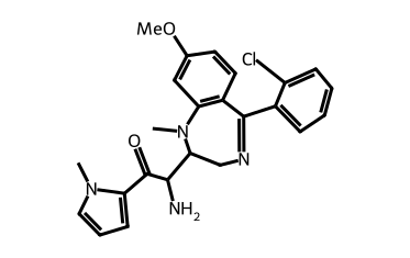 COc1ccc2c(c1)N(C)C(C(N)C(=O)c1cccn1C)CN=C2c1ccccc1Cl